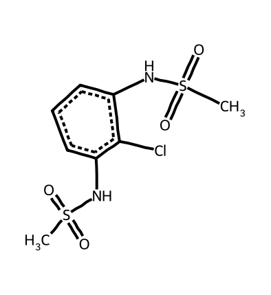 CS(=O)(=O)Nc1cccc(NS(C)(=O)=O)c1Cl